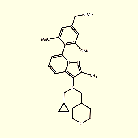 COCc1cc(OC)c(-c2cccc3c(N(CC4CCOCC4)CC4CC4)c(C)nn23)c(OC)c1